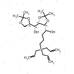 C=CC[Si](CC=C)(CC=C)CCCC(O)[C@H]1OC(C)(C)O[C@H]1[C@H](O)[C@H]1COC(C)(C)O1